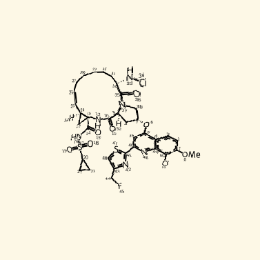 COc1ccc2c(O[C@@H]3C[C@H]4C(=O)N[C@]5(C(=O)NS(=O)(=O)C6CC6)C[C@H]5/C=C\CCCCC[C@H](NCl)C(=O)N4C3)cc(-c3nc(CF)cs3)nc2c1Cl